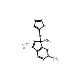 Cc1ccc2c(c1)[C](C)([Zr+2][C]1=CC=CC1)C=C2.[Cl-].[Cl-]